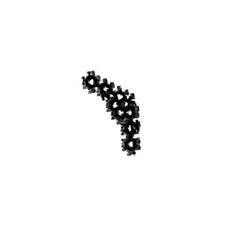 CC1(C)c2ccc(-c3ccc(-c4ccccc4)cn3)c3ccc4ccc5c(-c6ccc(-c7ccccc7)cn6)ccc1c5c4c23